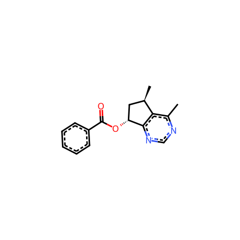 Cc1ncnc2c1[C@H](C)C[C@H]2OC(=O)c1ccccc1